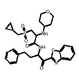 O=C(NC(CCc1ccccc1)C(=O)c1nc2ccccc2o1)C(CS(=O)(=O)CC1CC1)NC1CCOCC1